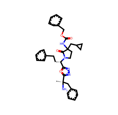 C[C@@](N)(Cc1ccccc1)c1nnc([C@H](CCc2ccccc2)N2CCC(CC3CC3)(NC(=O)OCc3ccccc3)C2=O)o1